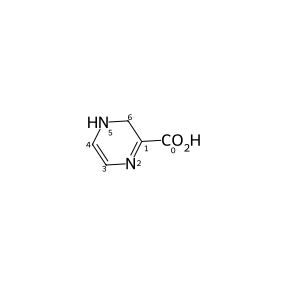 O=C(O)C1=NC=CNC1